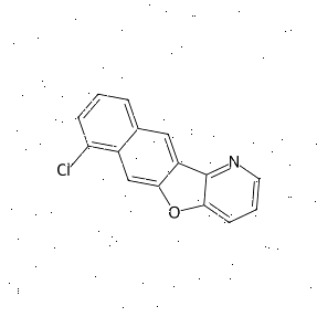 Clc1cccc2cc3c(cc12)oc1cccnc13